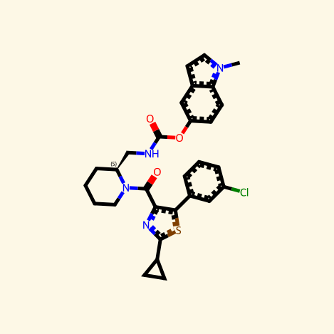 Cn1ccc2cc(OC(=O)NC[C@@H]3CCCCN3C(=O)c3nc(C4CC4)sc3-c3cccc(Cl)c3)ccc21